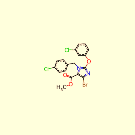 COC(=O)c1c(Br)nc(Oc2cccc(Cl)c2)n1Cc1ccc(Cl)cc1